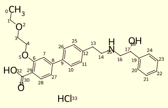 CCOCCOc1cc(-c2ccc(CCNC[C@H](O)c3ccccc3)cc2)ccc1C(=O)O.Cl